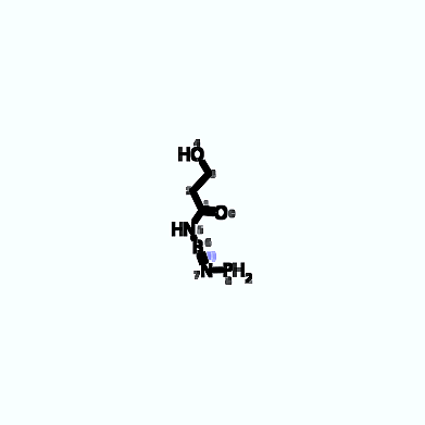 O=C(CCO)N/B=N/P